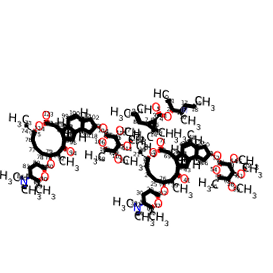 C#CC(OC(=O)[C@@H]1C(C=C(C)C)C1(C)C)/C(C)=C/CC.CC[C@H]1CCC[C@H](O[C@H]2CC[C@H](N(C)C)[C@@H](C)O2)[C@@H](C)C(=O)C2=C[C@@H]3[C@@H](C=C(C)[C@@H]4C[C@@H](O[C@@H]5O[C@@H](C)[C@H](OC)[C@@H](OC)[C@H]5OC)C[C@@H]34)[C@@H]2CC(=O)O1.CC[C@H]1CCC[C@H](O[C@H]2CC[C@H](N(C)C)[C@@H](C)O2)[C@@H](C)C(=O)C2=C[C@@H]3[C@@H](C=C[C@@H]4C[C@@H](O[C@@H]5O[C@@H](C)[C@H](OC)[C@@H](OC)[C@H]5OC)C[C@@H]34)[C@@H]2CC(=O)O1